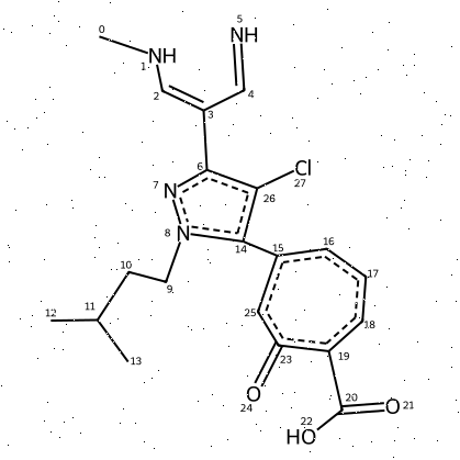 CN/C=C(\C=N)c1nn(CCC(C)C)c(-c2cccc(C(=O)O)c(=O)c2)c1Cl